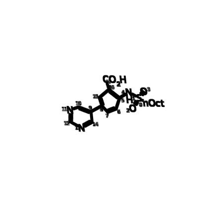 CCCCCCCCS(=O)(=O)Nc1ccc(-c2cncnc2)cc1C(=O)O